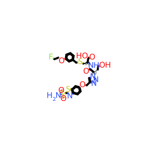 NS(=O)(=O)c1nc2ccc(OCc3cn([C@@H](CCO)C(=O)N[C@@H](CSCc4cccc(OCCF)c4)C(=O)O)nn3)cc2s1